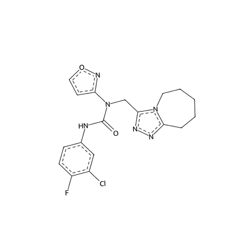 O=C(Nc1ccc(F)c(Cl)c1)N(Cc1nnc2n1CCCCC2)c1ccon1